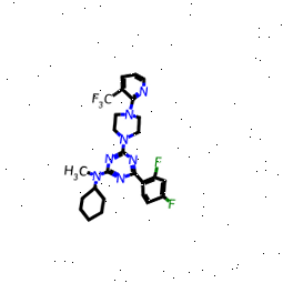 CN(c1nc(-c2ccc(F)cc2F)nc(N2CCN(c3ncccc3C(F)(F)F)CC2)n1)C1CCCCC1